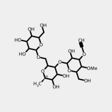 C#COC1C(O)C(OC2C(COC3OC(CO)C(O)C(O)C3O)O[C@H](C)C(O)C2O)OC(CO)C1OC